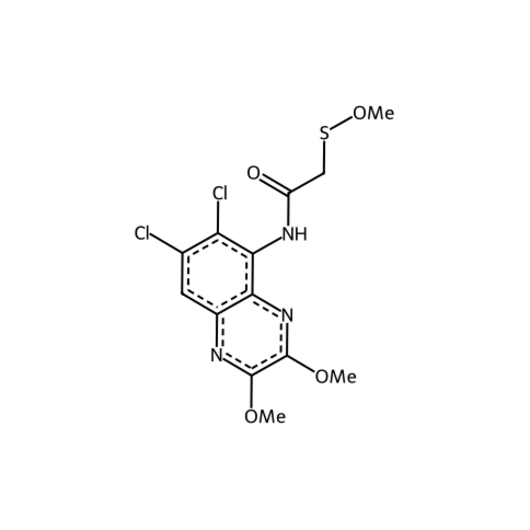 COSCC(=O)Nc1c(Cl)c(Cl)cc2nc(OC)c(OC)nc12